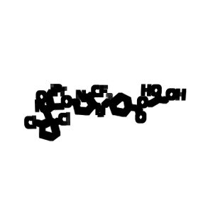 CC(C)c1onc(-c2c(Cl)cccc2Cl)c1COc1ccc(N(C)Cc2ccc(C(=O)OCC(O)CO)cc2)c(C(F)(F)F)n1